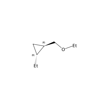 CCOC[C@@H]1C[C@H]1CC